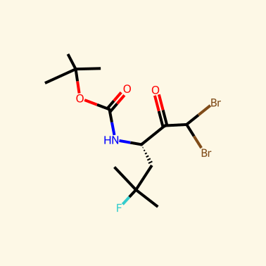 CC(C)(F)C[C@H](NC(=O)OC(C)(C)C)C(=O)C(Br)Br